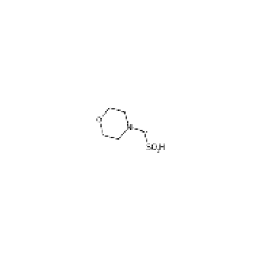 O=S(=O)(O)[CH]N1CCOCC1